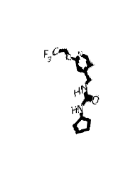 O=C(NCc1ccnc(OCC(F)(F)F)c1)NC1CCCC1